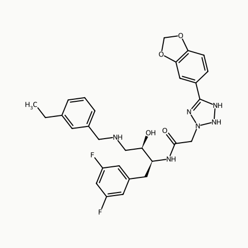 CCc1cccc(CNC[C@@H](O)[C@H](Cc2cc(F)cc(F)c2)NC(=O)CN2N=C(c3ccc4c(c3)OCO4)NN2)c1